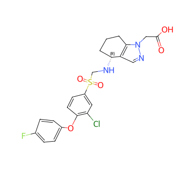 O=C(O)Cn1ncc2c1CCC[C@H]2NCS(=O)(=O)c1ccc(Oc2ccc(F)cc2)c(Cl)c1